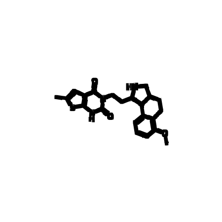 COc1cccc2c1CCC1CNC(CCn3c(=O)[nH]c4sc(C)cc4c3=O)C21